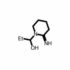 [CH2]CC(O)N1CCCCC1=N